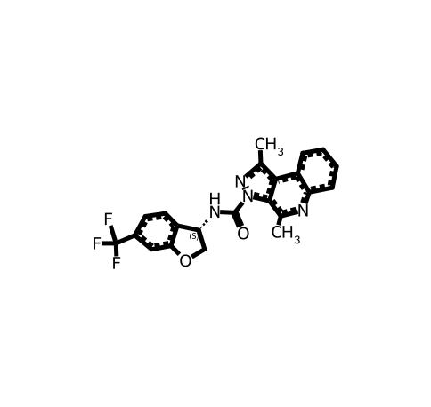 Cc1nn(C(=O)N[C@@H]2COc3cc(C(F)(F)F)ccc32)c2c(C)nc3ccccc3c12